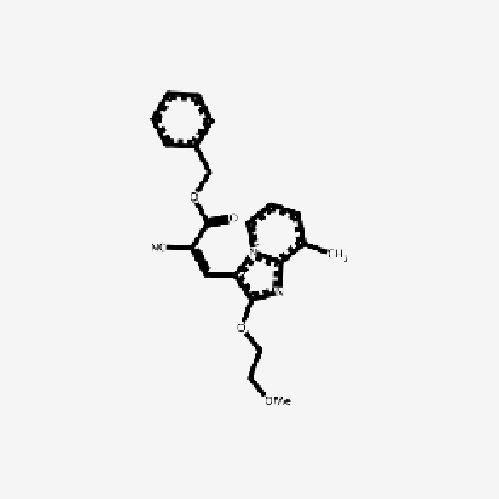 COCCOc1nc2c(C)cccn2c1/C=C(/C#N)C(=O)OCc1ccccc1